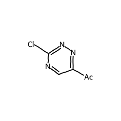 CC(=O)c1cnc(Cl)nn1